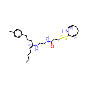 CCCC/C=C(/CCCc1ccc(C)cc1)NCCNC(=O)CCSSC1/C=C\CC/C=C\N1